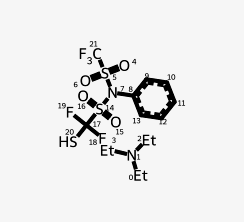 CCN(CC)CC.O=S(=O)(N(c1ccccc1)S(=O)(=O)C(F)(F)S)C(F)(F)F